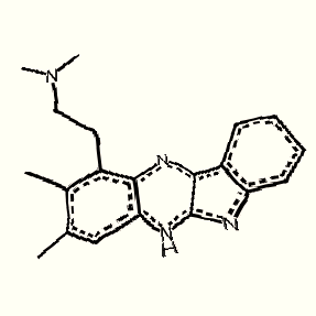 Cc1cc2[nH]c3nc4ccccc4c-3nc2c(CCN(C)C)c1C